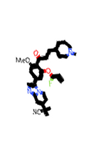 C=CC(F)Oc1cc(-c2cnc3cc(C(C)(C)C#N)ccn23)cc(OC)c1C(=O)CCC1CCCN(C)CC1